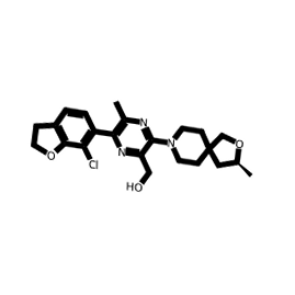 Cc1nc(N2CCC3(CC2)CO[C@@H](C)C3)c(CO)nc1-c1ccc2c(c1Cl)OCC2